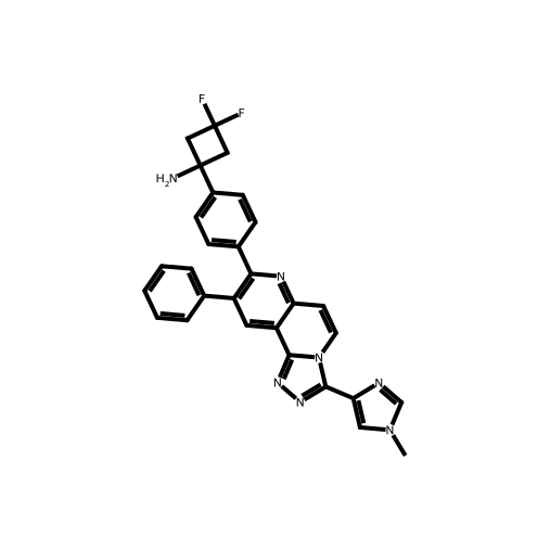 Cn1cnc(-c2nnc3c4cc(-c5ccccc5)c(-c5ccc(C6(N)CC(F)(F)C6)cc5)nc4ccn23)c1